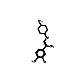 C/C(=C\NC1CCN(C)CC1)c1cnc(N)c(Br)c1